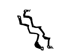 O=CCCCC=O.OCCCCCCO